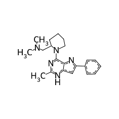 Cc1nc(N2CCCCC2CN(C)C)c2nc(-c3ccccc3)cc-2[nH]1